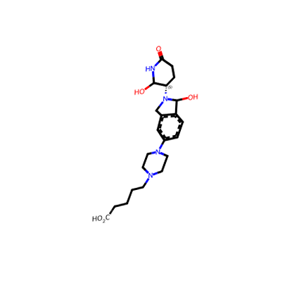 O=C(O)CCCCN1CCN(c2ccc3c(c2)CN([C@H]2CCC(=O)NC2O)C3O)CC1